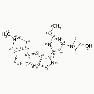 COc1nc(N2CC(O)C2)cc(-n2ncc3cc(F)c([C@H]4CCN(C)C[C@H]4F)cc32)n1